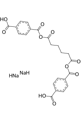 O=C(CCCCC(=O)OC(=O)c1ccc(C(=O)O)cc1)OC(=O)c1ccc(C(=O)O)cc1.[NaH].[NaH]